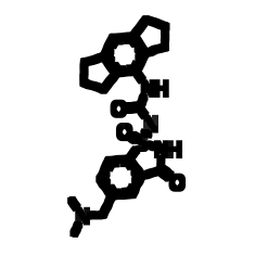 CN(C)Cc1ccc2c(c1)C(=O)NS2(=O)=NC(=O)Nc1c2c(cc3c1CCC3)CCC2